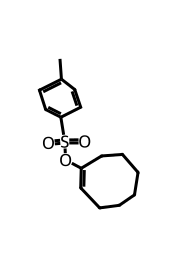 Cc1ccc(S(=O)(=O)O/C2=C/CCCCCC2)cc1